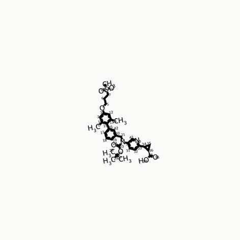 Cc1cc(OCCCS(C)(=O)=O)cc(C)c1-c1cccc(CN(C(=O)OC(C)(C)C)c2ccc(C3C[C@H]3C(=O)O)nc2)c1